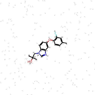 Cc1ccc(Oc2ccc3c(c2)ncn3CC(C)(C)O)c(F)c1